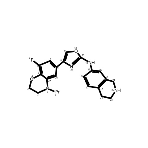 CC(C)N1CCOc2c(F)cc(-c3coc(Nc4ccc5c(c4)CNCC5)n3)cc21